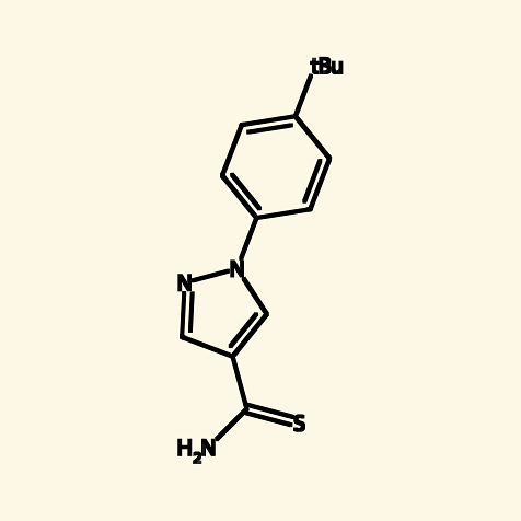 CC(C)(C)c1ccc(-n2cc(C(N)=S)cn2)cc1